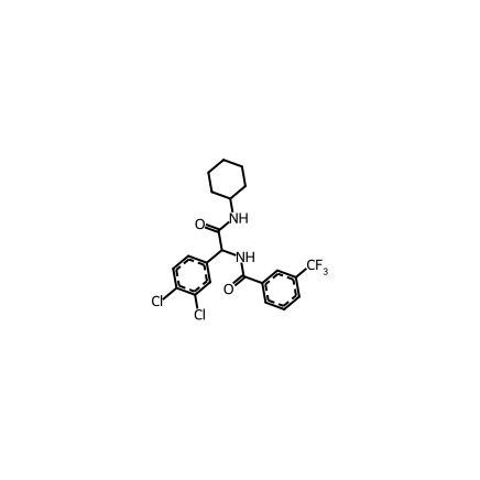 O=C(NC(C(=O)NC1CCCCC1)c1ccc(Cl)c(Cl)c1)c1cccc(C(F)(F)F)c1